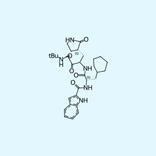 CC(C)(C)NC(=O)C(=O)C(C[C@@H]1CCNC1=O)NC(=O)[C@H](CC1CCCCC1)NC(=O)c1cc2ccccc2[nH]1